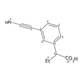 CCCC#Cc1cccc(C(CC)C(=O)O)c1